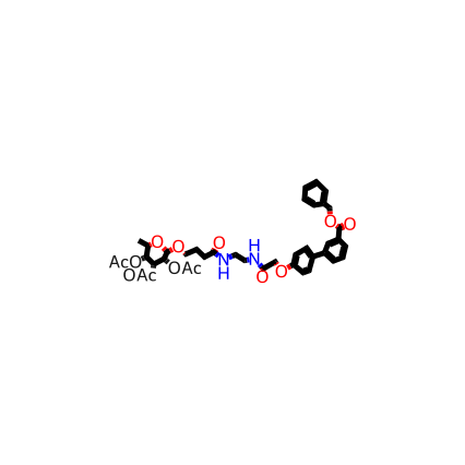 CC(=O)OC1C(C)OC(OCCCC(=O)NCCNC(=O)COc2ccc(-c3cccc(C(=O)OCc4ccccc4)c3)cc2)C(OC(C)=O)C1OC(C)=O